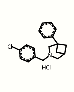 Cl.Clc1ccc(CN2CC3CC(c4ccccc4)(C3)C2)cc1